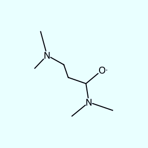 CN(C)CCC([O])N(C)C